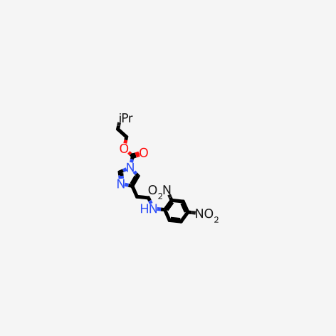 CC(C)CCOC(=O)n1cnc(CCNc2ccc([N+](=O)[O-])cc2[N+](=O)[O-])c1